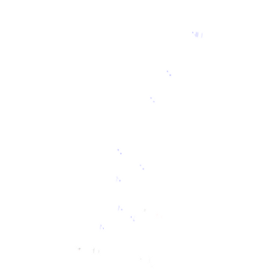 C=CCn1c(=O)c2cnc(Nc3ccc(N4CCN(C5CCNCC5)CC4)cc3)nc2n1-c1ccc2c(n1)[C@](O)(CC)CC2